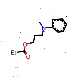 CCC(=O)OCCCN(C)c1ccccc1